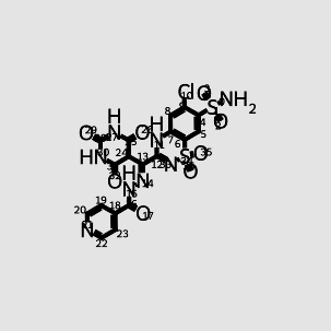 NS(=O)(=O)c1cc2c(cc1Cl)NC(C(=NNC(=O)c1ccncc1)C1C(=O)NC(=O)NC1=O)=NS2(=O)=O